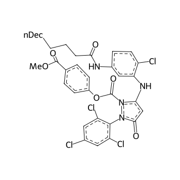 CCCCCCCCCCCCCC(=O)Nc1ccc(Cl)c(Nc2cc(=O)n(-c3c(Cl)cc(Cl)cc3Cl)n2C(=O)Oc2ccc(C(=O)OC)cc2)c1